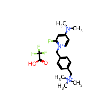 CN(C)c1cc[n+](Cc2ccc(C[N+](C)(C)C)cc2)c(F)c1.O=C(O)C(F)(F)F